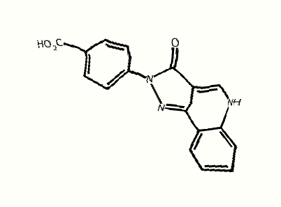 O=C(O)c1ccc(-n2nc3c4ccccc4[nH]cc-3c2=O)cc1